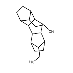 OCCC1C2CCC1C1C2CC2C3CCC(C3CO)C21